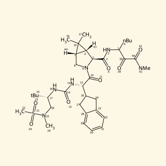 CCCCC(NC(=O)[C@@H]1[C@@H]2[C@H](CN1C(=O)[C@@H](NC(=O)N[C@H](CN(C)S(C)(=O)=O)C(C)(C)C)C1Cc3ccccc3C1)C2(C)C)C(=O)C(=O)NC